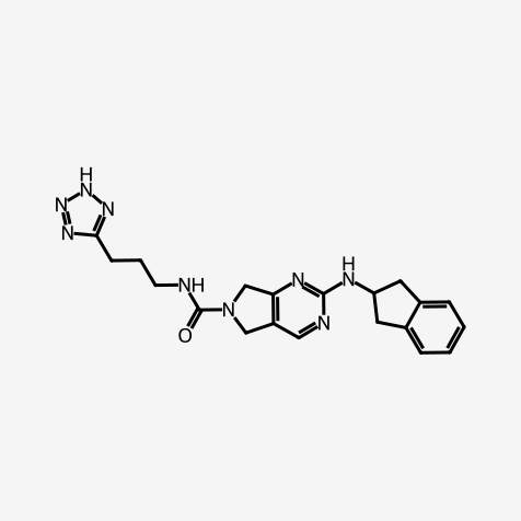 O=C(NCCCc1nn[nH]n1)N1Cc2cnc(NC3Cc4ccccc4C3)nc2C1